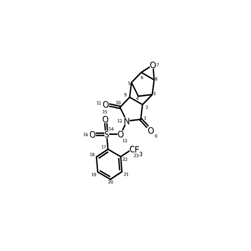 O=C1C2C3CC(C4OC34)C2C(=O)N1OS(=O)(=O)c1ccccc1C(F)(F)F